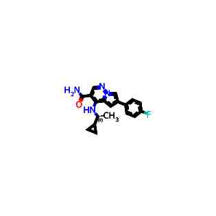 C[C@@H](Nc1c(C(N)=O)cnn2cc(-c3ccc(F)cc3)cc12)C1CC1